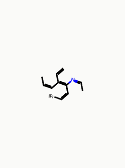 C=CC(/C=C\C)=C(/C=C\C(C)C)\N=C/C